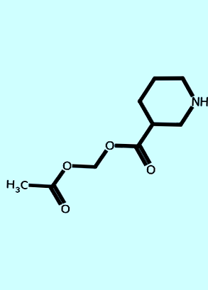 CC(=O)OCOC(=O)C1CCCNC1